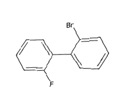 Fc1ccccc1-c1ccccc1Br